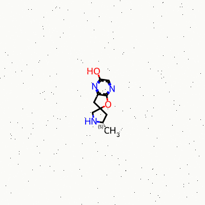 C[C@H]1CC2(CN1)Cc1nc(O)cnc1O2